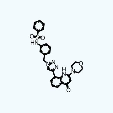 O=c1cc(N2CCOCC2)[nH]c2c(-c3cn(Cc4cccc(NS(=O)(=O)c5ccccc5)c4)nn3)cccc12